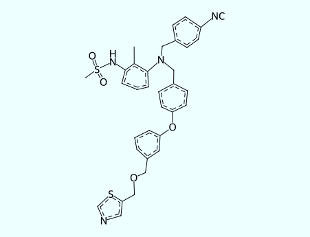 [C-]#[N+]c1ccc(CN(Cc2ccc(Oc3cccc(COCc4cncs4)c3)cc2)c2cccc(NS(C)(=O)=O)c2C)cc1